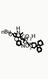 CCCCOCCC1(C(=O)O)C(C)NC(C)C(CCOCCN2CCC(c3ccccc3)(c3ccccc3)CC2)(C(=O)O)[C@@H]1c1cccc([N+](=O)[O-])c1